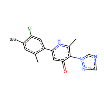 Cc1cc(C(C)(C)C)c(Cl)cc1-c1cc(=O)c(-n2cncn2)c(C)[nH]1